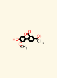 C=C(O)c1ccc2c(c1)c(=O)oc1cc(O)c(OC)cc12